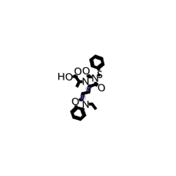 CCN1/C(=C\C=C2\C(=O)N(Sc3ccccc3)C(=O)N2C(C)C(=O)O)Oc2ccccc21